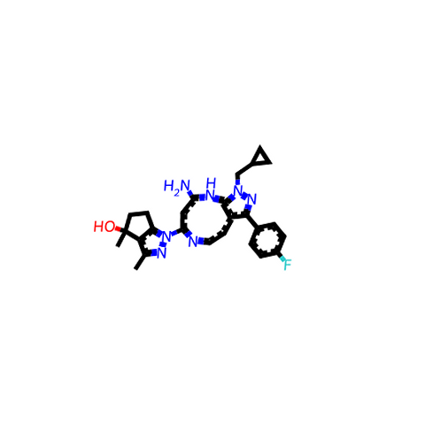 Cc1nn(-c2cc(N)[nH]c3c(ccn2)c(-c2ccc(F)cc2)nn3CC2CC2)c2c1C(C)(O)CC2